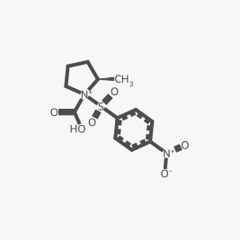 C[C@@H]1CCC[N+]1(C(=O)O)S(=O)(=O)c1ccc([N+](=O)[O-])cc1